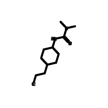 CN(C)C(=O)NC1CCC(CCCl)CC1